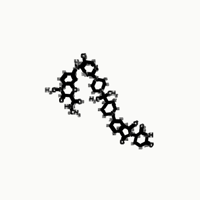 CNC(=O)C1Oc2cc(Nc3nc(N4CCN(C(C)(C)C5CCN(c6ccc7c(c6)C(=O)N(C6CCC(=O)NC6=O)C7=O)CC5)CC4)ncc3Cl)ccc2N(C)C1=O